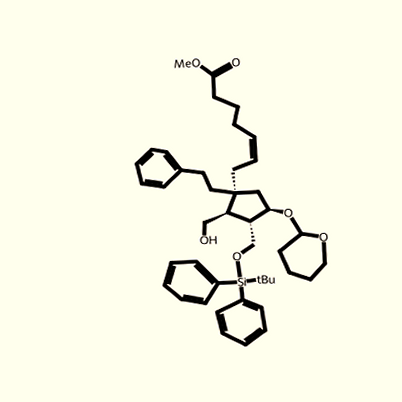 COC(=O)CCC/C=C\C[C@]1(CCc2ccccc2)C[C@@H](OC2CCCCO2)[C@H](CO[Si](c2ccccc2)(c2ccccc2)C(C)(C)C)[C@H]1CO